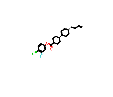 C=CCC[C@H]1CC[C@H](C2CCC(C(=O)Oc3ccc(Cl)c(F)c3)CC2)CC1